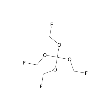 FCOC(OCF)(OCF)OCF